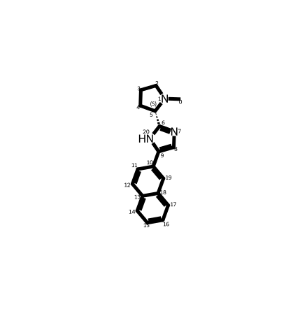 CN1CCC[C@H]1c1ncc(-c2ccc3ccccc3c2)[nH]1